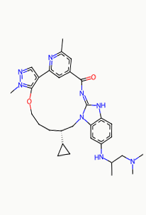 Cc1cc2cc(n1)-c1cnn(C)c1OCCC[C@@H](C1CC1)CN1/C(=N/C2=O)Nc2ccc(NC(C)CN(C)C)cc21